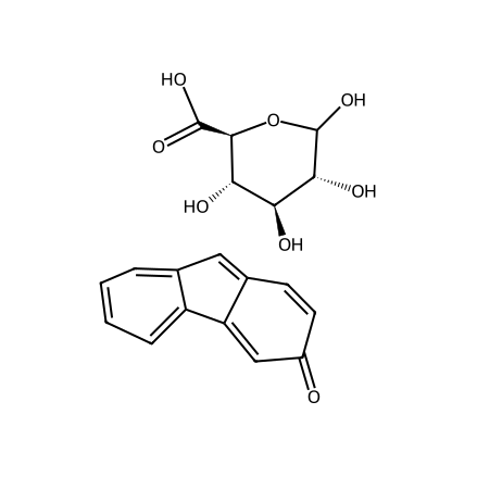 O=C(O)[C@H]1OC(O)[C@H](O)[C@@H](O)[C@@H]1O.O=C1C=CC2=Cc3ccccc3C2=C1